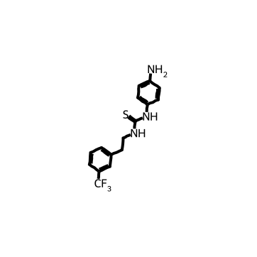 Nc1ccc(NC(=S)NCCc2cccc(C(F)(F)F)c2)cc1